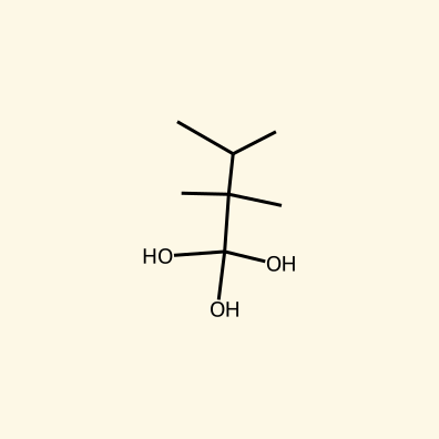 CC(C)C(C)(C)C(O)(O)O